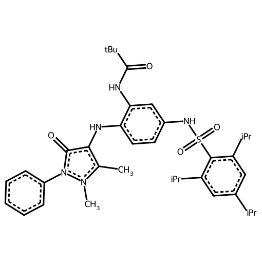 Cc1c(Nc2ccc(NS(=O)(=O)c3c(C(C)C)cc(C(C)C)cc3C(C)C)cc2NC(=O)C(C)(C)C)c(=O)n(-c2ccccc2)n1C